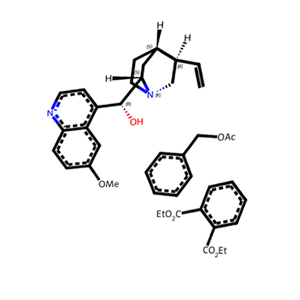 C=C[C@H]1C[N@]2CC[C@H]1C[C@H]2[C@H](O)c1ccnc2ccc(OC)cc12.CC(=O)OCc1ccccc1.CCOC(=O)c1ccccc1C(=O)OCC